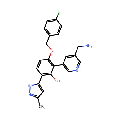 NCc1cncc(-c2c(OCc3ccc(Cl)cc3)ccc(-c3cc(C(F)(F)F)n[nH]3)c2O)c1